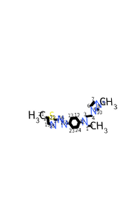 CCN(CCn1cc[n+](C)c1)c1ccc(/N=N/c2ncc(C)s2)cc1